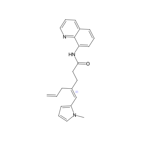 C=CC/C(=C\c1cccn1C)CCC(=O)Nc1cccc2cccnc12